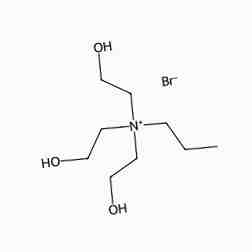 CCC[N+](CCO)(CCO)CCO.[Br-]